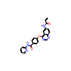 C=CC(=O)Nc1ccc2ncnc(Oc3ccc(C(=O)Nc4ccccn4)cc3)c2c1